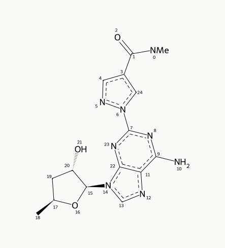 CNC(=O)c1cnn(-c2nc(N)c3ncn([C@H]4O[C@@H](C)C[C@@H]4O)c3n2)c1